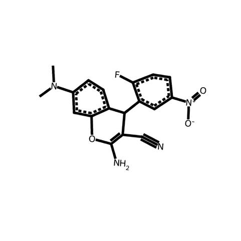 CN(C)c1ccc2c(c1)OC(N)=C(C#N)C2c1cc([N+](=O)[O-])ccc1F